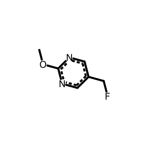 COc1ncc(CF)cn1